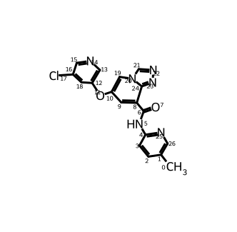 Cc1ccc(NC(=O)c2cc(Oc3cncc(Cl)c3)cn3cnnc23)nc1